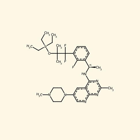 CC[Si](CC)(CC)OC(C)(C)C(F)(F)c1cccc([C@@H](C)Nc2nc(C)nc3ncc(N4CCN(C)CC4)cc23)c1F